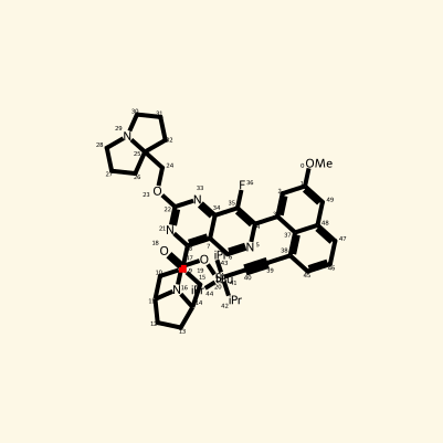 COc1cc(-c2ncc3c(N4CC5CCC(C4)N5C(=O)OC(C)(C)C)nc(OCC45CCCN4CCC5)nc3c2F)c2c(C#C[Si](C(C)C)(C(C)C)C(C)C)cccc2c1